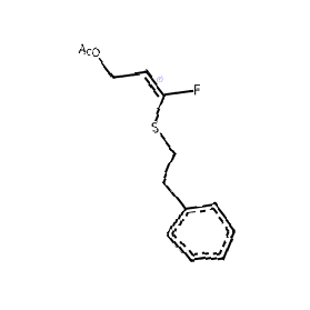 CC(=O)OC/C=C(/F)SCCc1ccccc1